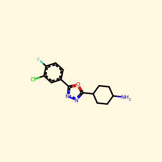 NC1CCC(c2nnc(-c3ccc(F)c(Cl)c3)o2)CC1